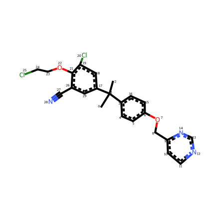 CC(C)(c1ccc(OCc2ccncn2)cc1)c1cc(Cl)c(OCCCl)c(C#N)c1